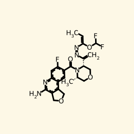 C=C(/N=N\C(=C/C)OC(F)F)[C@@H]1COC[C@H](C)N1C(=O)c1cc2c3c(c(N)nc2cc1F)COC3